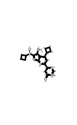 Nc1c([S@+]([O-])C2CCC2)sc2nc(-c3cc(=O)[nH]cn3)cc(C3CCC3)c12